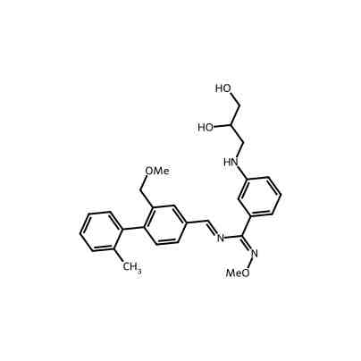 COCc1cc(/C=N/C(=N\OC)c2cccc(NCC(O)CO)c2)ccc1-c1ccccc1C